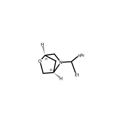 CCCC(CC)N1C[C@H]2C[C@@H]1CO2